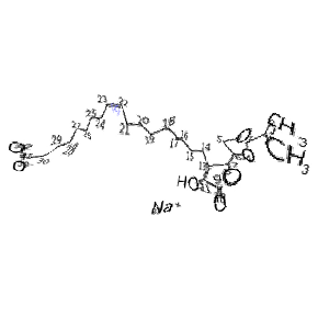 CC(C)C1OCC(C2OC(=O)C(O)=C2CCCCCCCC/C=C\CCCCCCCC(=O)[O-])O1.[Na+]